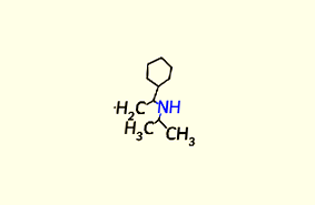 [CH2]C(NC(C)C)C1CCCCC1